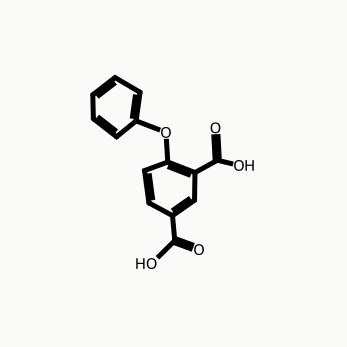 O=C(O)c1ccc(Oc2ccccc2)c(C(=O)O)c1